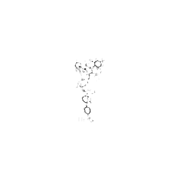 COC(=O)C1=C(CN2CCN(C)C(CN(C=O)c3ccc(-c4ccc(C(=O)O)cc4)nc3)C2)NC(c2nccs2)=N[C@H]1c1ccc(F)cc1Cl